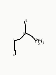 CC[C](C)P